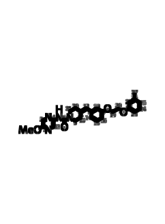 COc1cnc(NC(=O)N2CCC(=Cc3cccc(OCCOc4cccc(C)c4)c3)CC2)cn1